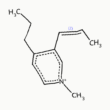 C/C=C\c1c[n+](C)ccc1CCC